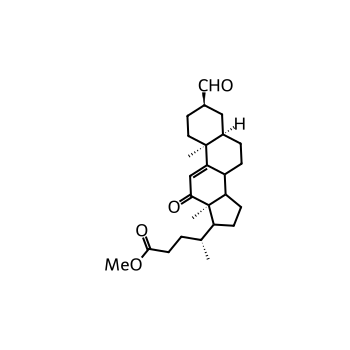 COC(=O)CC[C@@H](C)C1CCC2C3CC[C@@H]4C[C@H](C=O)CC[C@]4(C)C3=CC(=O)[C@@]21C